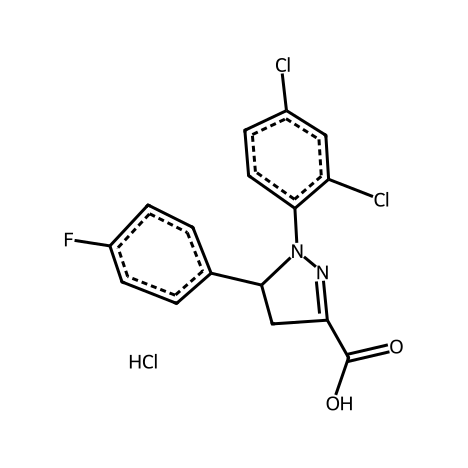 Cl.O=C(O)C1=NN(c2ccc(Cl)cc2Cl)C(c2ccc(F)cc2)C1